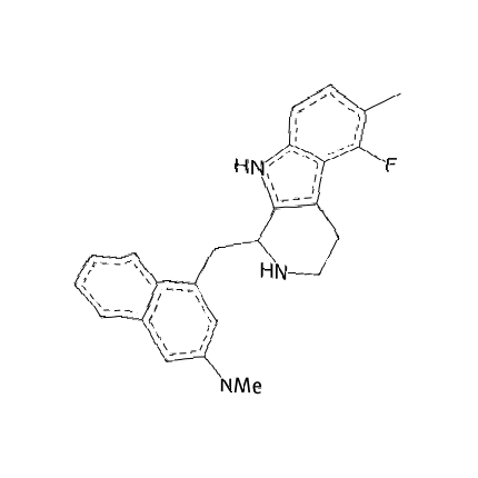 CNc1cc(CC2NCCc3c2[nH]c2ccc(C)c(F)c32)c2ccccc2c1